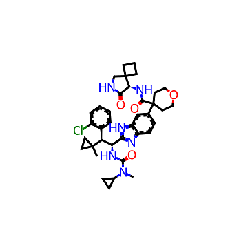 CN(C(=O)N[C@H](c1nc2ccc(C3(C(=O)N[C@H]4C(=O)NCC45CCC5)CCOCC3)cc2[nH]1)[C@H](c1ccccc1Cl)C1(C)CC1)C1CC1